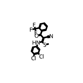 CSC(Nc1ccc(Cl)c(Cl)c1)=C(C#N)C(=O)c1ccccc1C(F)(F)F